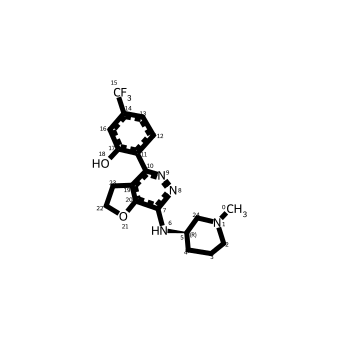 CN1CCC[C@@H](Nc2nnc(-c3ccc(C(F)(F)F)cc3O)c3c2OCC3)C1